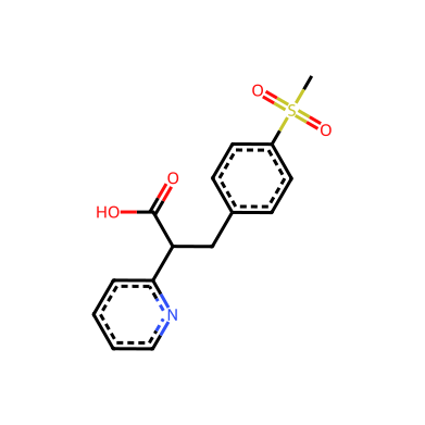 CS(=O)(=O)c1ccc(CC(C(=O)O)c2ccccn2)cc1